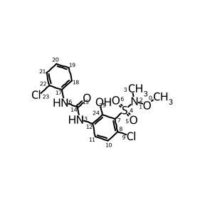 CON(C)S(=O)(=O)c1c(Cl)ccc(NC(=O)Nc2ccccc2Cl)c1O